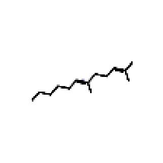 [CH2]CCCC/C=C(\C)CCC=C(C)C